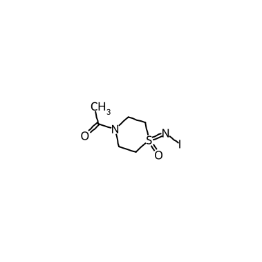 CC(=O)N1CCS(=O)(=NI)CC1